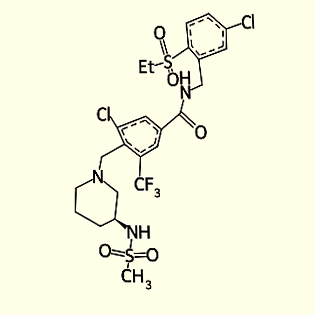 CCS(=O)(=O)c1ccc(Cl)cc1CNC(=O)c1cc(Cl)c(CN2CCC[C@H](NS(C)(=O)=O)C2)c(C(F)(F)F)c1